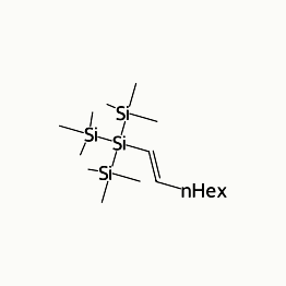 CCCCCCC=C[Si]([Si](C)(C)C)([Si](C)(C)C)[Si](C)(C)C